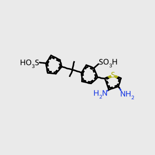 CC(C)(c1ccc(S(=O)(=O)O)cc1)c1ccc(-c2scc(N)c2N)c(S(=O)(=O)O)c1